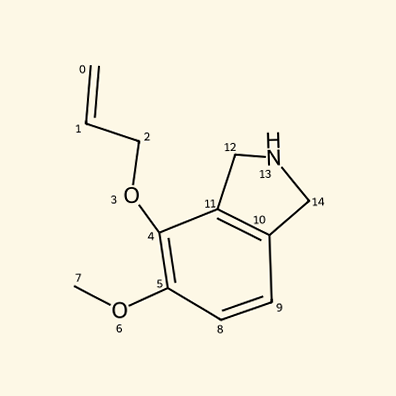 C=CCOc1c(OC)ccc2c1CNC2